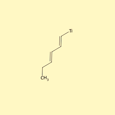 CCC=CC=[CH][Ti]